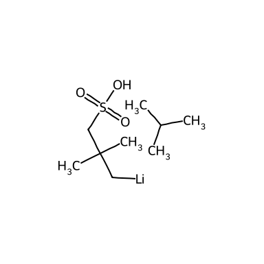 CC(C)C.[Li][CH2]C(C)(C)CS(=O)(=O)O